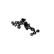 CCN(CC)CC(CSc1ccccc1)Nc1ccc(S(=O)(=O)Nc2ncnc3cc(N4CCN(Cc5cc(Cl)ccc5-c5ccccc5)CC4)ccc23)cc1[N+](=O)[O-]